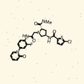 CNC(=O)[C@@H]1C[C@@H](NC(=O)c2ccc(Cl)s2)CN1CC(=O)Nc1ccc(-n2ccccc2=O)cc1F